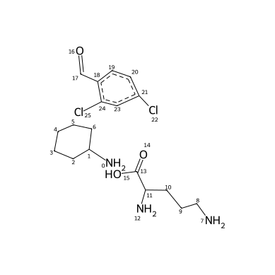 NC1CCCCC1.NCCCC(N)C(=O)O.O=Cc1ccc(Cl)cc1Cl